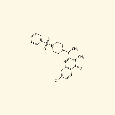 CC(c1nc2cc(Cl)ccc2c(=O)n1C)N1CCN(S(=O)(=O)c2ccccc2)CC1